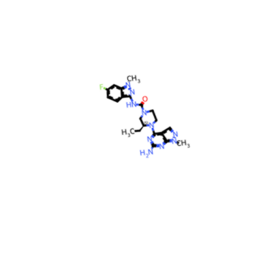 CC[C@H]1CN(C(=O)Nc2nn(C)c3cc(F)ccc23)CCN1c1nc(N)nc2c1cnn2C